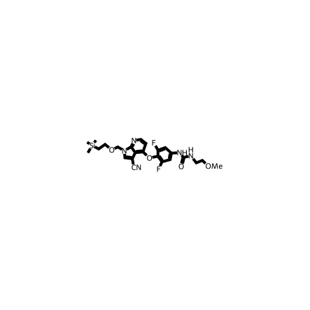 COCCNC(=O)Nc1cc(F)c(Oc2ccnc3c2c(C#N)cn3COCC[Si](C)(C)C)c(F)c1